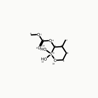 COC(=O)OC1C(C)CCOS1(O)O